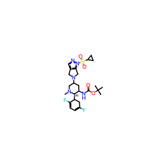 CN1CC(N2Cc3cnn(S(=O)(=O)C4CC4)c3C2)CC(NC(=O)OC(C)(C)C)[C@H]1C1CC(F)=CC=C1F